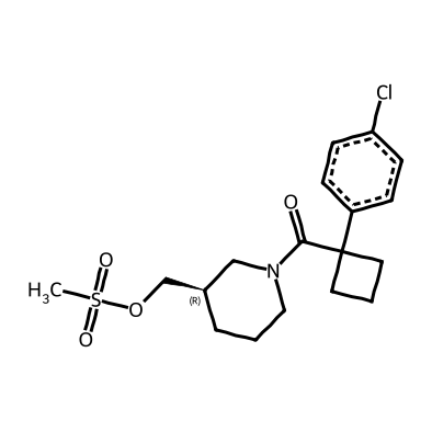 CS(=O)(=O)OC[C@@H]1CCCN(C(=O)C2(c3ccc(Cl)cc3)CCC2)C1